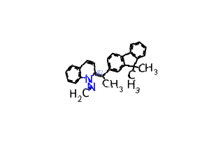 C=NN1/C(=C(\C)c2ccc3c(c2)C(C)(C)c2ccccc2-3)C=Cc2ccccc21